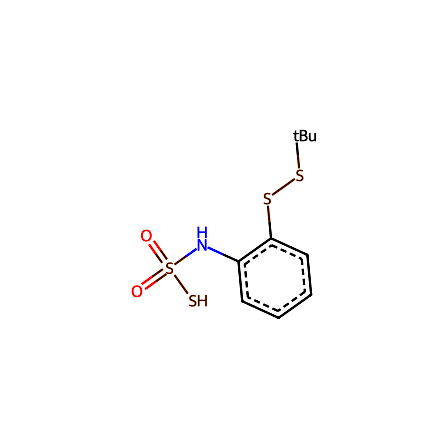 CC(C)(C)SSc1ccccc1NS(=O)(=O)S